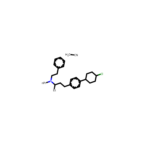 CC#N.CCCN(CCc1ccccc1)C(CC)CCc1ccc(C2CCC(Cl)CC2)cc1